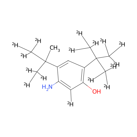 [2H]c1c(N)c(C(C)(C([2H])([2H])[2H])C([2H])([2H])[2H])cc(C(C([2H])([2H])[2H])(C([2H])([2H])[2H])C([2H])([2H])[2H])c1O